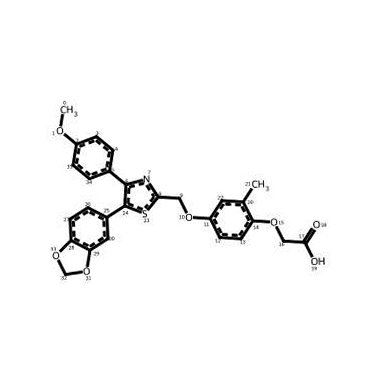 COc1ccc(-c2nc(COc3ccc(OCC(=O)O)c(C)c3)sc2-c2ccc3c(c2)OCO3)cc1